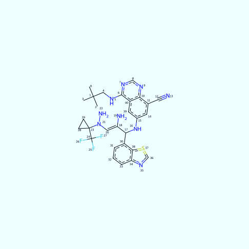 CC(C)(C)CNc1ncnc2c(C#N)cc(NC(/C(N)=C/N(N)C3(C(F)(F)F)CC3)c3cccc4ncsc34)cc12